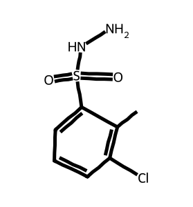 Cc1c(Cl)cccc1S(=O)(=O)NN